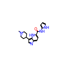 CN1CCC(c2cnc3ccc(C(=O)Nc4ccc[nH]4)[nH]c2-3)CC1